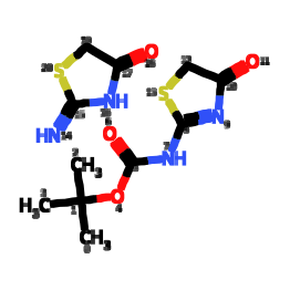 CC(C)(C)OC(=O)NC1=NC(=O)CS1.N=C1NC(=O)CS1